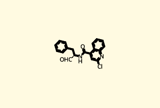 O=C[C@H](Cc1ccccc1)NC(=O)c1cc(Cl)nc2ccccc12